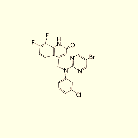 O=c1cc(CN(c2cccc(Cl)c2)c2ncc(Br)cn2)c2ccc(F)c(F)c2[nH]1